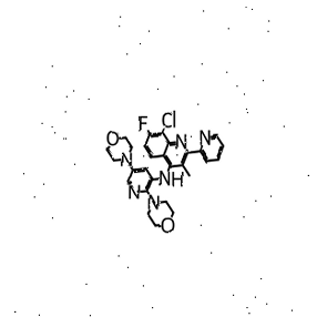 Cc1c(-c2ccccn2)nc2c(Cl)c(F)ccc2c1Nc1cc(N2CCOCC2)cnc1N1CCOCC1